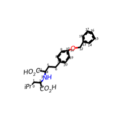 CC(C)CC(NC(CCc1ccc(OCc2ccccc2)cc1)C(=O)O)C(=O)O